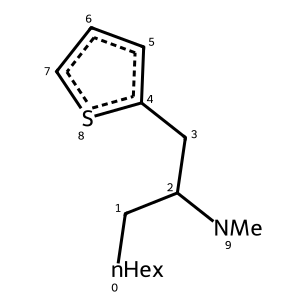 CCCCCCCC(Cc1cccs1)NC